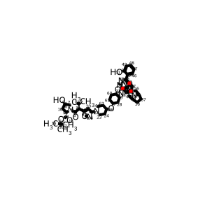 CC(C)[C@H](C(=O)N1C[C@H](O)C[C@H]1C(=O)OC(C)(C)C)c1cc(N2CCC(O[C@H]3CC[C@@H](Oc4cc(N5C6CCC5CN(c5cc(-c7ccccc7O)nnc5N)C6)ccn4)CC3)CC2)no1